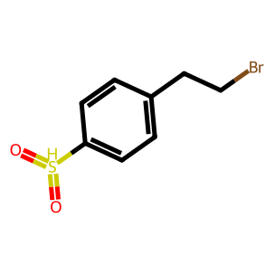 O=[SH](=O)c1ccc(CCBr)cc1